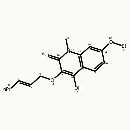 CCC/C=C/COc1c(O)c2ccc(OCC)cc2n(C)c1=O